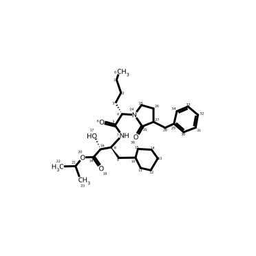 CCCC[C@@H](C(=O)N[C@@H](CC1CCCCC1)[C@@H](O)C(=O)OC(C)C)N1CCC(Cc2ccccc2)C1=O